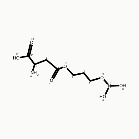 NC(CC(=O)OCCCON(O)O)C(=O)O